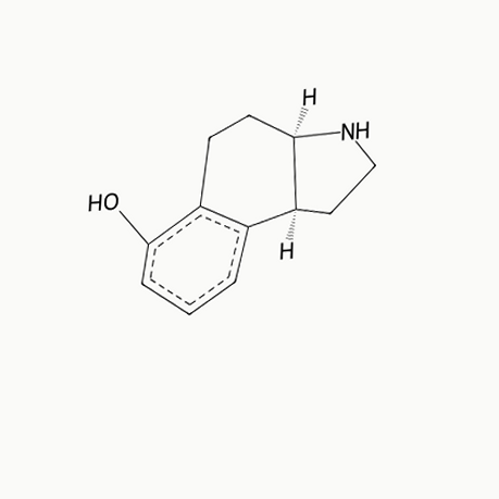 Oc1cccc2c1CC[C@H]1NCC[C@@H]21